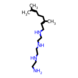 CC(C)=CCCC(C)=CCNCCNCCNCCN